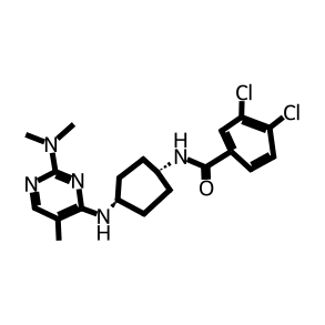 Cc1cnc(N(C)C)nc1N[C@H]1CC[C@@H](NC(=O)c2ccc(Cl)c(Cl)c2)CC1